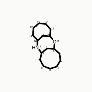 C1CCCC2CC(CC1)NC1CCCCCC(C1)O2